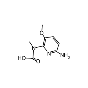 COc1ccc(N)nc1N(C)C(=O)O